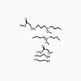 CCC[CH2][Sn+]([CH2]CCC)[O]C.CCC[CH2][Sn+]([CH2]CCC)[O]C.O=C(CO)O[O-].O=C(CO)O[O-].SCCS.SCCS